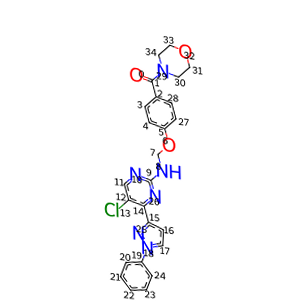 O=C(c1ccc(OCNc2ncc(Cl)c(-c3ccn(-c4ccccc4)n3)n2)cc1)N1CCOCC1